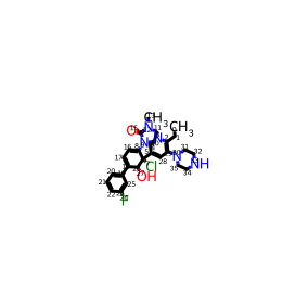 CCc1ncc(C2(Cl)C(N3CCN(C)C3=O)=CC=C(c3cccc(F)c3)C2O)cc1N1CCNCC1